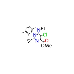 CCN(Cc1ccc(C)c(C)c1)c1nc(C2CC2)nc(C(=O)OC)c1Cl